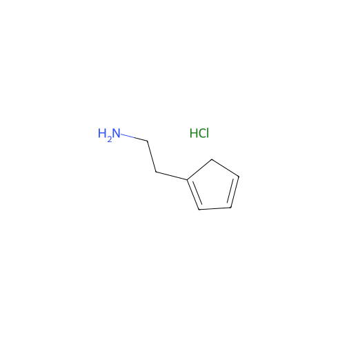 Cl.NCCC1=CC=CC1